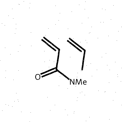 C=CC.C=CC(=O)NC